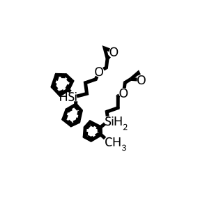 Cc1ccccc1[SiH2]CCCOCC1CO1.c1ccc([SiH](CCCOCC2CO2)c2ccccc2)cc1